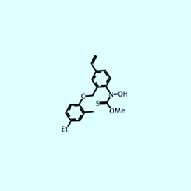 C=Cc1ccc(N(O)C(=S)OC)c(COc2ccc(CC)cc2C)c1